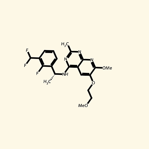 COCCOc1cc2c(N[C@H](C)c3cccc(C(F)F)c3F)nc(C)nc2nc1OC